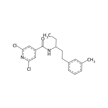 CCC(CCc1cccc(C)c1)NC(=O)c1cc(Cl)nc(Cl)c1